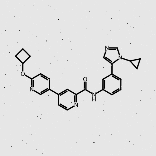 O=C(Nc1cccc(-c2cncn2C2CC2)c1)c1cc(-c2ccc(OC3CCC3)nc2)ccn1